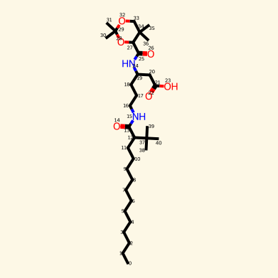 CCCCCCCCCCCCC(C(=O)NCCCC(CC(=O)O)NC(=O)C1OC(C)(C)OCC1(C)C)C(C)(C)C